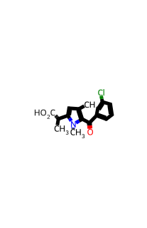 Cc1cc(C(C)C(=O)O)n(C)c1C(=O)c1cccc(Cl)c1